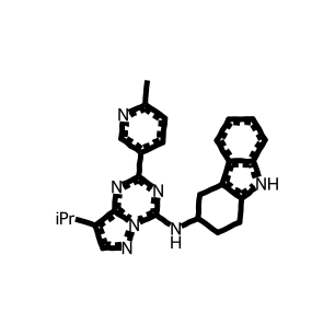 Cc1ccc(-c2nc(NC3CCc4[nH]c5ccccc5c4C3)n3ncc(C(C)C)c3n2)cn1